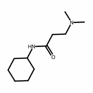 CN(C)CCC(=O)NC1CC[CH]CC1